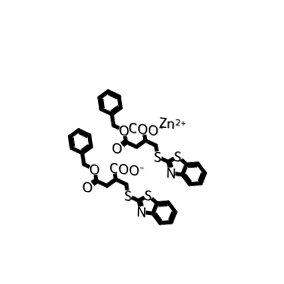 O=C(CC(CSc1nc2ccccc2s1)C(=O)[O-])OCc1ccccc1.O=C(CC(CSc1nc2ccccc2s1)C(=O)[O-])OCc1ccccc1.[Zn+2]